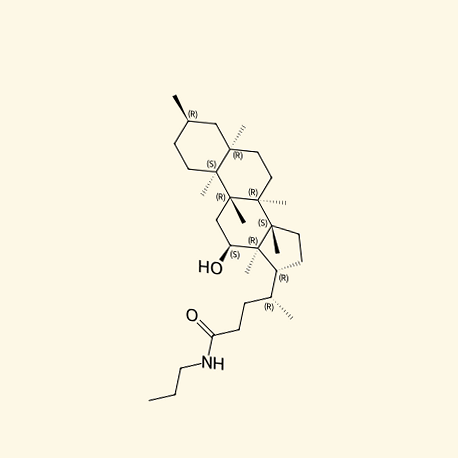 CCCNC(=O)CC[C@@H](C)[C@H]1CC[C@]2(C)[C@]1(C)[C@@H](O)C[C@@]1(C)[C@@]2(C)CC[C@]2(C)C[C@H](C)CC[C@@]21C